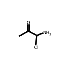 CC(=O)C(N)Cl